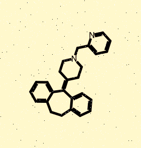 c1ccc(CN2CCC(=C3c4ccccc4CCc4ccccc43)CC2)nc1